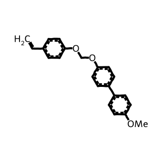 C=Cc1ccc(OCOc2ccc(-c3ccc(OC)cc3)cc2)cc1